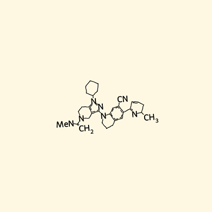 C=C(NC)N1CCc2c(c(N3CCCc4cc(C5=NC(C)CC=C5)c(C#N)cc43)nn2C2CCCCC2)C1